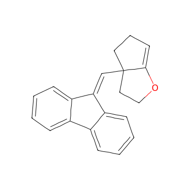 C(=C1c2ccccc2-c2ccccc21)C12CCC=C1OCC2